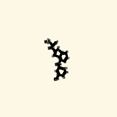 CC(=O)Nc1nc2c(Nc3cc(Cl)ncn3)cccc2s1